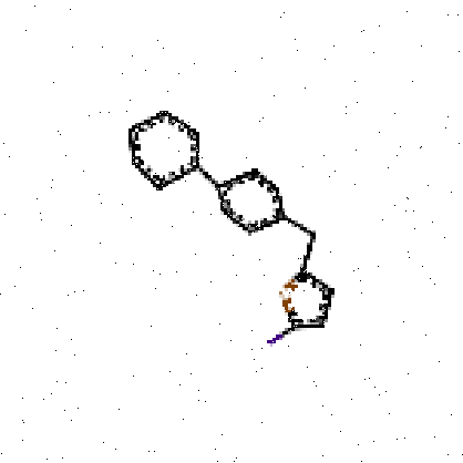 Ic1ccc(Cc2ccc(-c3ccccc3)cc2)s1